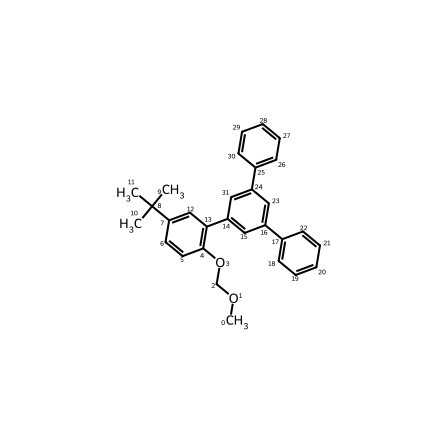 COCOc1ccc(C(C)(C)C)cc1-c1cc(-c2ccccc2)cc(-c2ccccc2)c1